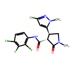 CN1C[C@H](c2cc(Cl)nn2C)[C@@H](C(=O)Nc2ccc(F)c(F)c2F)C1=O